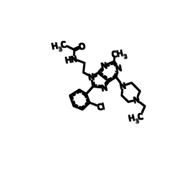 CCN1CCN(c2nc(C)nc3c2nc(-c2ccccc2Cl)n3CCNC(C)=O)CC1